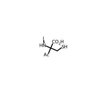 CC(=O)C(CS)(NI)C(=O)O